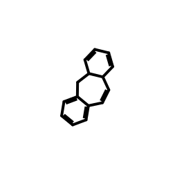 C1=CC2C=Cc3ccccc3CC2C=C1